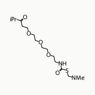 CNCSC(=O)NCCOCCOCCOCCC(=O)C(C)C